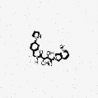 C[C@@H](NC(=O)[C@H](O)[C@@H](O)C(=O)N1Cc2ccc[n+]([O-])c2C1)C1=CCC(n2cccn2)C=C1